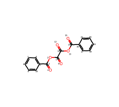 O=C(OC(=O)c1ccccc1)C(=O)OC(=O)c1ccccc1